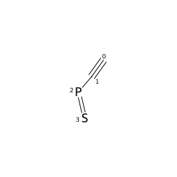 C#CP=S